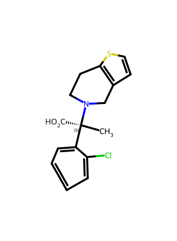 C[C@@](C(=O)O)(c1ccccc1Cl)N1CCc2sccc2C1